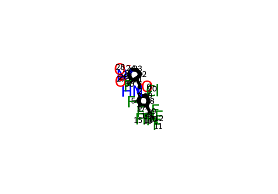 O=C(Nc1c(F)cc(C(F)(C(F)(F)F)C(F)(F)F)cc1Cl)c1cccc([N+](=O)[O-])c1F